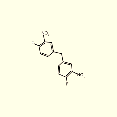 O=[N+]([O-])c1cc([CH]c2ccc(F)c([N+](=O)[O-])c2)ccc1F